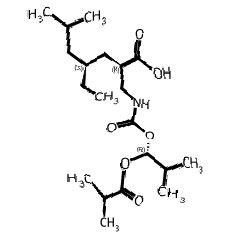 CC[C@@H](CC(C)C)C[C@H](CNC(=O)O[C@@H](OC(=O)C(C)C)C(C)C)C(=O)O